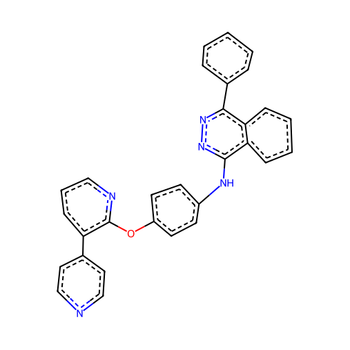 c1ccc(-c2nnc(Nc3ccc(Oc4ncccc4-c4ccncc4)cc3)c3ccccc23)cc1